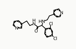 O=C(NCCc1cccnc1)C(NCCc1ccncc1)c1ccc(Cl)cc1Cl